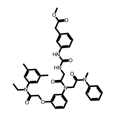 CCN(C(=O)COc1cccc(N(CC(=O)N(C)c2ccccc2)C(=O)CNC(=O)Nc2cccc(CC(=O)OC)c2)c1)c1cc(C)cc(C)c1